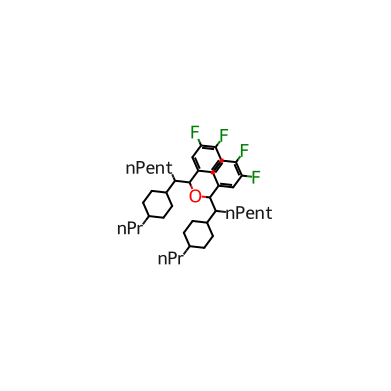 CCCCCC(C1CCC(CCC)CC1)C(OC(c1ccc(F)c(F)c1)C(CCCCC)C1CCC(CCC)CC1)c1ccc(F)c(F)c1